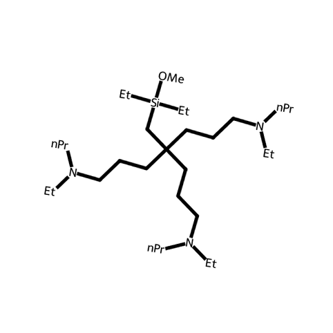 CCCN(CC)CCCC(CCCN(CC)CCC)(CCCN(CC)CCC)C[Si](CC)(CC)OC